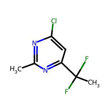 Cc1nc(Cl)cc(C(C)(F)F)n1